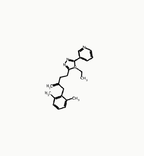 C=C(CCc1nnc(-c2cccnc2)n1CC)Cc1c(C)cccc1C